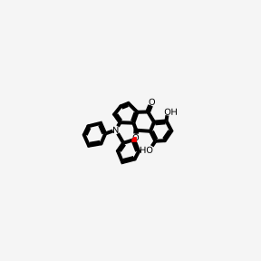 O=C1c2cccc(N(c3ccccc3)c3ccccc3)c2C(=O)c2c(O)ccc(O)c21